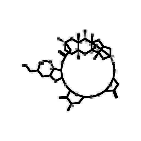 C=C1CC2CC[C@@]34CC5O[C@H]6[C@@H](O3)[C@H]3O[C@H](CC[C@@H]3O[C@H]6[C@H]5O4)CC(=O)CC3C(CC4OC(CCC1O2)C[C@@H](C)C4=C)OC(CC(O)CO)[C@@H]3OC